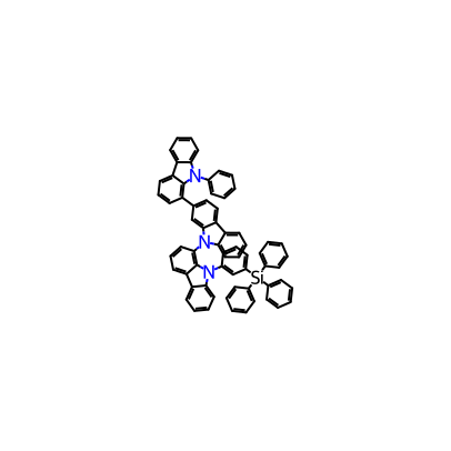 c1ccc(-n2c3ccccc3c3cccc(-c4ccc5c6ccccc6n(-c6cccc7c8ccccc8n(-c8cccc([Si](c9ccccc9)(c9ccccc9)c9ccccc9)c8)c67)c5c4)c32)cc1